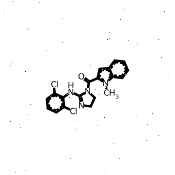 Cn1c(C(=O)N2CCN=C2Nc2c(Cl)cccc2Cl)cc2ccccc21